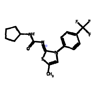 Cc1cn(-c2ccc(C(F)(F)F)cc2)/c(=N/C(=O)NC2CCCC2)s1